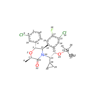 C[C@H]1O[C@H](c2cccc(Cl)c2)[C@@H](c2ccc(Cl)c(F)c2)N([C@H](CO[Si](C)(C)C(C)(C)C)C2CC2)C1=O